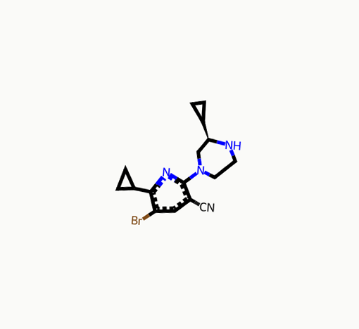 N#Cc1cc(Br)c(C2CC2)nc1N1CCN[C@H](C2CC2)C1